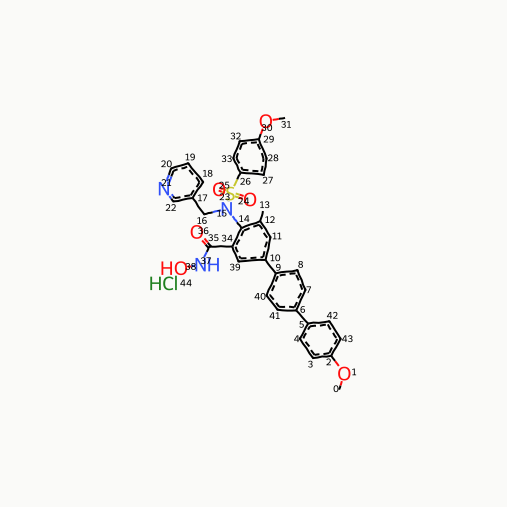 COc1ccc(-c2ccc(-c3cc(C)c(N(Cc4cccnc4)S(=O)(=O)c4ccc(OC)cc4)c(C(=O)NO)c3)cc2)cc1.Cl